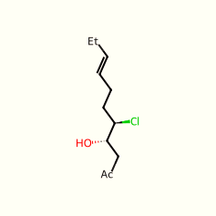 CC/C=C/CC[C@@H](Cl)[C@@H](O)CC(C)=O